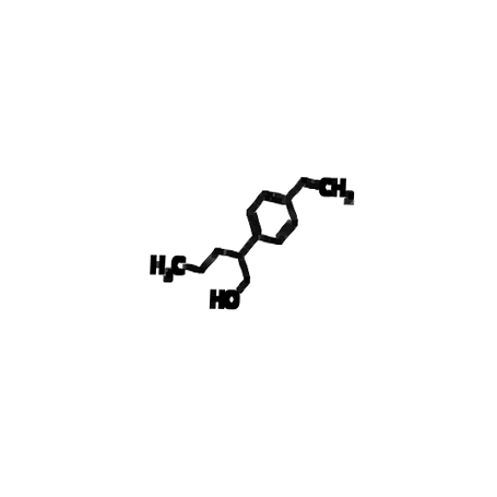 C=Cc1ccc(C(CO)CCC)cc1